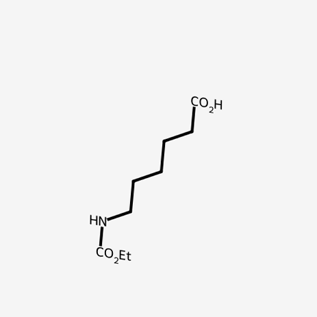 CCOC(=O)NCCCCCC(=O)O